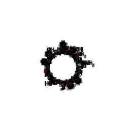 CCCC[C@H]1C(=O)N(C)CC(=O)N[C@@H](CC(=O)O)C(=O)N[C@@H](C(C)C)C(=O)N(C)[C@@H](Cc2ccccc2)C(=O)N[C@@H](Cc2ccc(O)cc2)C(=O)N(C)CC(=O)N[C@@H](Cc2c[nH]c3ccccc23)C(=O)N[C@@H](Cc2ccc(O)cc2)C(=O)N[C@@H](CCN)C(=O)N[C@H](C(=O)NCC(N)=O)CSCC(=O)N[C@@H](Cc2ccccc2)C(=O)N(C)[C@@H](Cc2ccccc2)C(=O)N1C